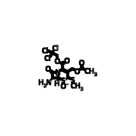 CSC1C(COC(C)=O)=C(C(=O)OCC(Cl)(Cl)Cl)N2C(=O)[C@@H](N)[C@H]2[S+]1[O-]